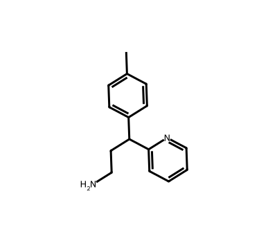 Cc1ccc(C(CCN)c2ccccn2)cc1